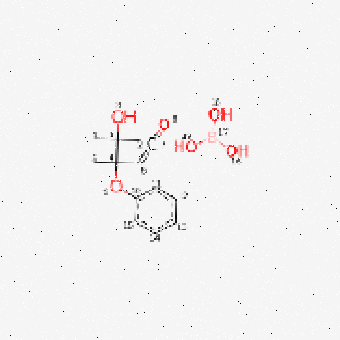 CC(C)(O)C(C)(C=C=O)Oc1ccccc1.OB(O)O